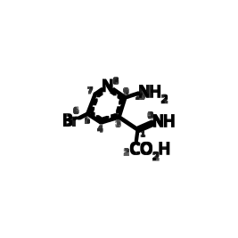 N=C(C(=O)O)c1cc(Br)cnc1N